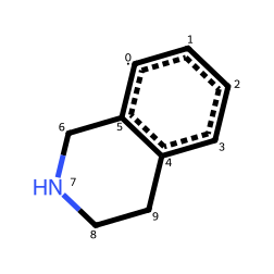 [c]1cccc2c1CNCC2